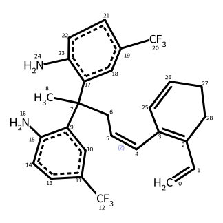 C=CC1=C(/C=C\CC(C)(c2cc(C(F)(F)F)ccc2N)c2cc(C(F)(F)F)ccc2N)C=CCC1